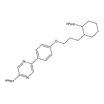 CCCCCCCc1cnc(-c2ccc(OCCCC3CCCCC3CCCCC)cc2)cn1